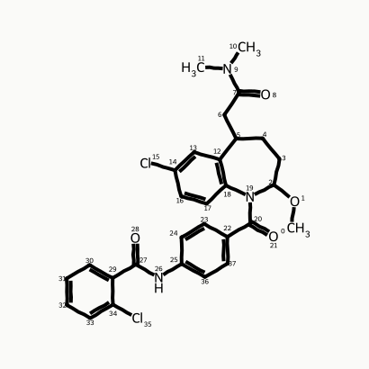 COC1CCC(CC(=O)N(C)C)c2cc(Cl)ccc2N1C(=O)c1ccc(NC(=O)c2ccccc2Cl)cc1